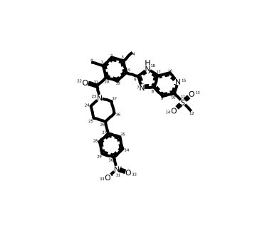 Cc1cc(C)c(-c2nc3cc(S(C)(=O)=O)ncc3[nH]2)cc1C(=O)N1CCC(c2ccc([N+](=O)[O-])cc2)CC1